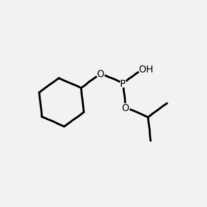 CC(C)OP(O)OC1CCCCC1